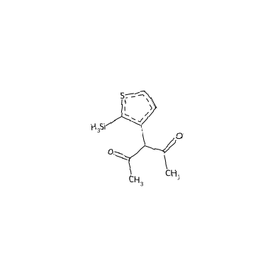 CC(=O)C(C(C)=O)c1ccsc1[SiH3]